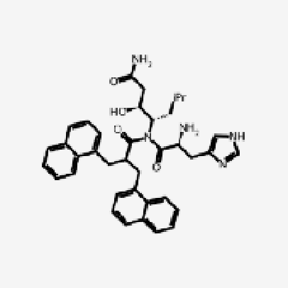 CC(C)C[C@@H]([C@@H](O)CC(N)=O)N(C(=O)C(Cc1cccc2ccccc12)Cc1cccc2ccccc12)C(=O)[C@@H](N)Cc1c[nH]cn1